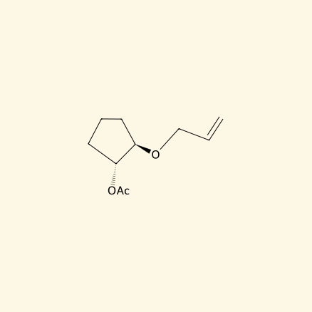 C=CCO[C@@H]1CCC[C@H]1OC(C)=O